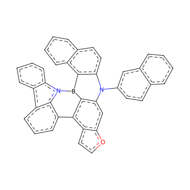 c1ccc2cc(N3c4cc5occc5c5c4B(c4c3ccc3ccccc43)n3c4ccccc4c4cccc-5c43)ccc2c1